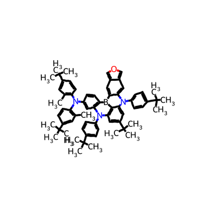 Cc1cc(C(C)(C)C)ccc1N(c1ccc2c(c1)N(c1ccc(C(C)(C)C)cc1)c1cc(C(C)(C)C)cc3c1B2c1cc2cocc2cc1N3c1ccc(C(C)(C)C)cc1)c1ccc(C(C)(C)C)cc1C